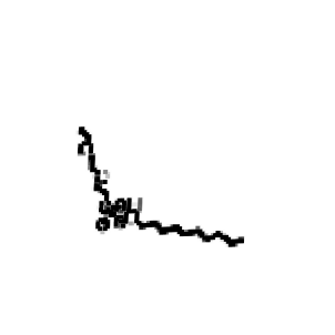 CCCCCCCCCCOOP(=O)(O)OCCOCCOCC